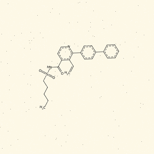 C=Cc1c(C(=O)NS(=O)(=O)CCCCC)ccnc1-c1ccc(-c2ccccc2)cc1